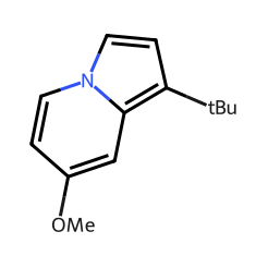 COc1ccn2ccc(C(C)(C)C)c2c1